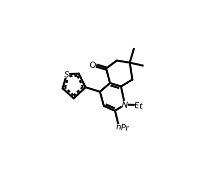 CCCC1=CC(c2ccsc2)C2=C(CC(C)(C)CC2=O)N1CC